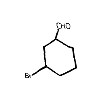 O=CC1CCCC(Br)C1